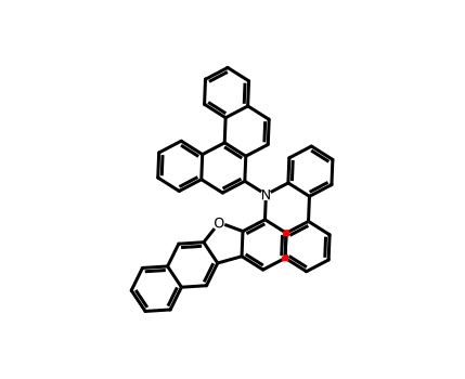 c1ccc(-c2ccccc2N(c2cc3ccccc3c3c2ccc2ccccc23)c2cccc3c2oc2cc4ccccc4cc23)cc1